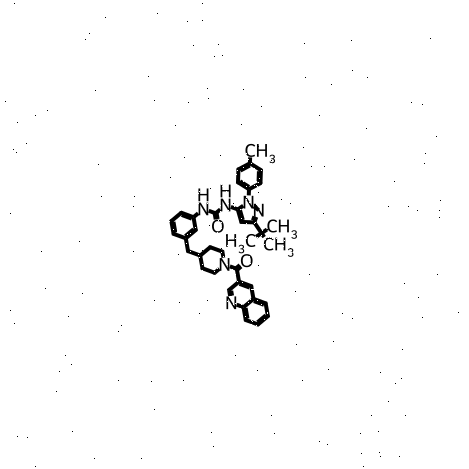 Cc1ccc(-n2nc(C(C)(C)C)cc2NC(=O)Nc2cccc(CC3CCN(C(=O)c4cnc5ccccc5c4)CC3)c2)cc1